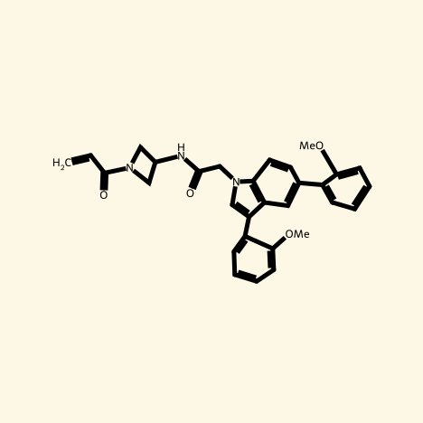 C=CC(=O)N1CC(NC(=O)Cn2cc(-c3ccccc3OC)c3cc(-c4ccccc4OC)ccc32)C1